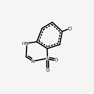 O=S1(=O)N=CNc2ccc(Cl)cc21